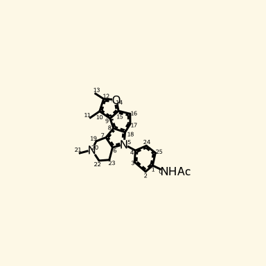 CC(=O)Nc1ccc(-n2c3c(c4c5c(C)c(C)oc5ccc42)CN(C)CC3)cc1